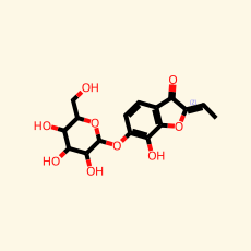 C/C=C1\Oc2c(ccc(OC3OC(CO)C(O)C(O)C3O)c2O)C1=O